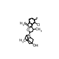 CC(CC(=O)N1C2CC3(C)CC1CC(O)(C2)C3)c1nn(C)c2ccc(F)c(Cl)c12